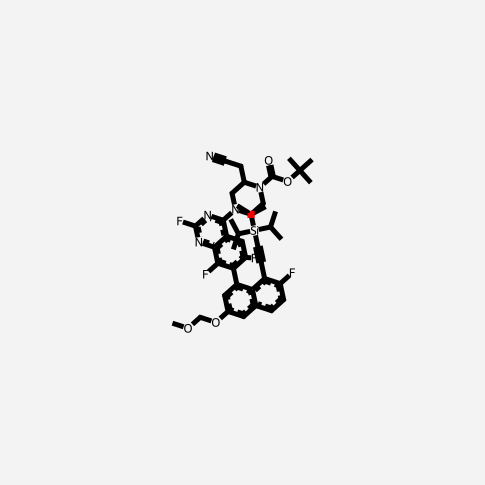 COCOc1cc(-c2c(F)cc3c(N4CCN(C(=O)OC(C)(C)C)C(CC#N)C4)nc(F)nc3c2F)c2c(C#C[Si](C(C)C)(C(C)C)C(C)C)c(F)ccc2c1